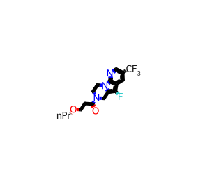 CCCOCCC(=O)N1CCn2c(c(F)c3cc(C(F)(F)F)cnc32)C1